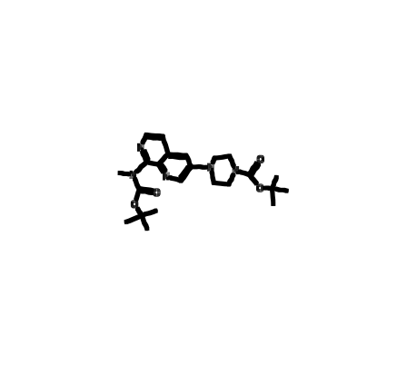 CN(C(=O)OC(C)(C)C)c1nccc2cc(N3CCN(C(=O)OC(C)(C)C)CC3)cnc12